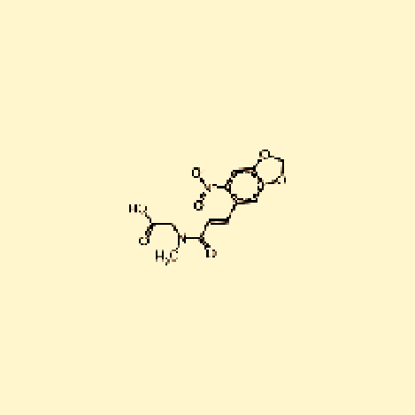 CN(CC(=O)O)C(=O)C=Cc1cc2c(cc1[N+](=O)[O-])OCO2